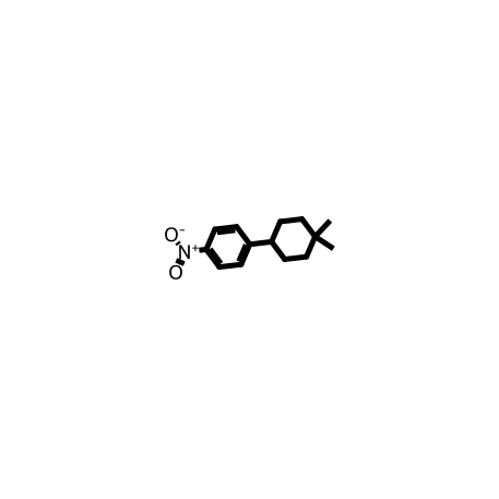 CC1(C)CCC(c2ccc([N+](=O)[O-])cc2)CC1